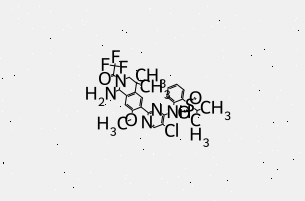 COc1cc2c(cc1-c1ncc(Cl)c(Nc3ccccc3S(=O)(=O)C(C)C)n1)C(C)(C)CN(C(=O)C(F)(F)F)C2N